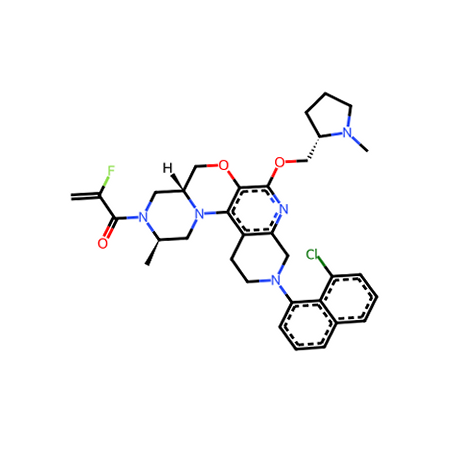 C=C(F)C(=O)N1C[C@@H]2COc3c(OC[C@@H]4CCCN4C)nc4c(c3N2C[C@H]1C)CCN(c1cccc2cccc(Cl)c12)C4